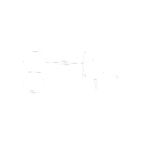 CC(C)(C)OC(=O)NC1(C#Cc2cccc3ccccc23)CC1